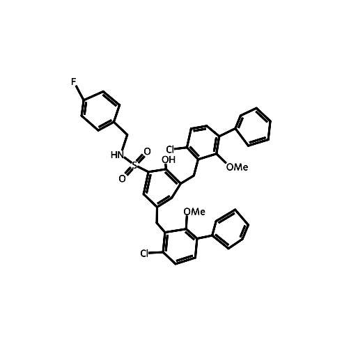 COc1c(-c2ccccc2)ccc(Cl)c1Cc1cc(Cc2c(Cl)ccc(-c3ccccc3)c2OC)c(O)c(S(=O)(=O)NCc2ccc(F)cc2)c1